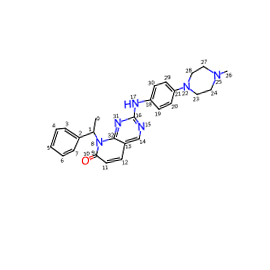 CC(c1ccccc1)n1c(=O)ccc2cnc(Nc3ccc(N4CCN(C)CC4)cc3)nc21